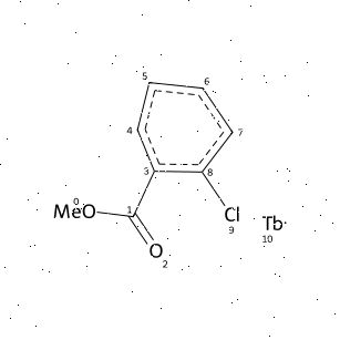 COC(=O)c1ccccc1Cl.[Tb]